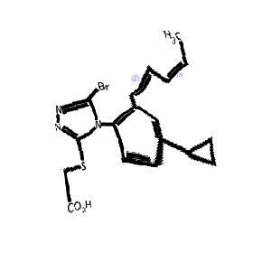 C/C=C\C=C/c1cc(C2CC2)ccc1-n1c(Br)nnc1SCC(=O)O